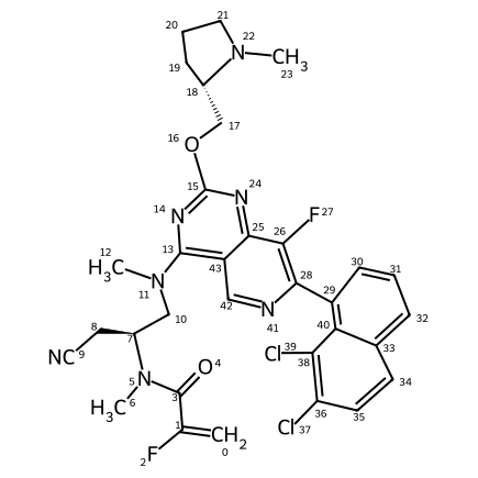 C=C(F)C(=O)N(C)[C@@H](CC#N)CN(C)c1nc(OC[C@@H]2CCCN2C)nc2c(F)c(-c3cccc4ccc(Cl)c(Cl)c34)ncc12